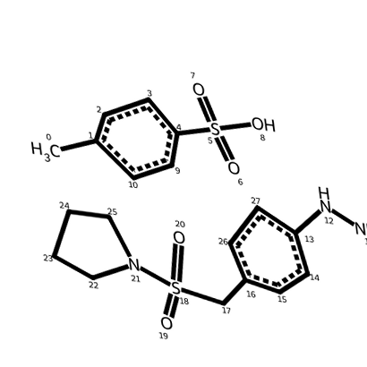 Cc1ccc(S(=O)(=O)O)cc1.NNc1ccc(CS(=O)(=O)N2CCCC2)cc1